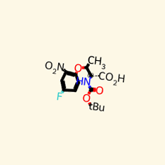 CC(Oc1ccc(F)cc1[N+](=O)[O-])[C@@H](NC(=O)OC(C)(C)C)C(=O)O